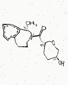 C[C@H]1c2ccccc2CCN1C(=O)[C@H]1CC[C@H](O)CO1